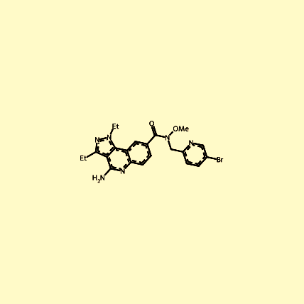 CCc1nn(CC)c2c1c(N)nc1ccc(C(=O)N(Cc3ccc(Br)cn3)OC)cc12